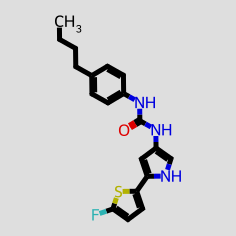 CCCCc1ccc(NC(=O)Nc2c[nH]c(-c3ccc(F)s3)c2)cc1